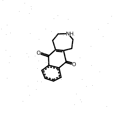 O=C1C2=C(CCNCC2)C(=O)c2ccccc21